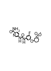 COC(=O)N1CCCC(Oc2cc(F)cc(NC(=O)Nc3ccc(C(N)=O)nc3)c2)C1